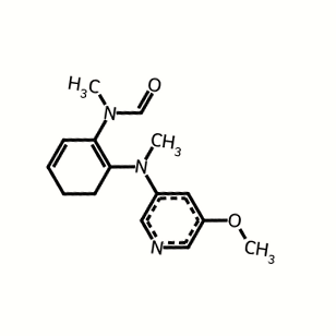 COc1cncc(N(C)C2=C(N(C)C=O)C=CCC2)c1